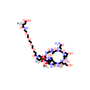 CC[C@H](C)[C@@H]1NC(=O)CNC(=O)[C@@H]2Cc3c([nH]c4c(CSC5CCN(C(=O)CCOCCOCCOCCOCCNC(=O)C(C)CC(=O)O)CC5)c(OC)ccc34)[S+]([O-])C[C@H](NC(=O)CNC1=O)C(=O)N[C@@H](CCC(N)=O)C(=O)N1C[C@H](O)C[C@H]1C(=O)N[C@@H]([C@@H](C)[C@@H](O)CO)C(=O)N2